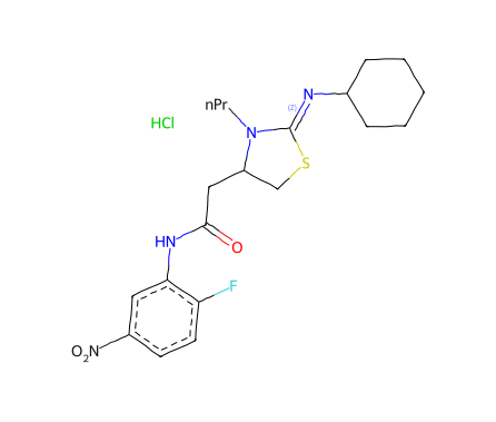 CCCN1/C(=N/C2CCCCC2)SCC1CC(=O)Nc1cc([N+](=O)[O-])ccc1F.Cl